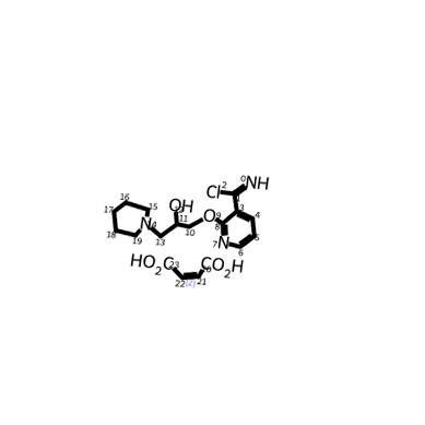 N=C(Cl)c1cccnc1OCC(O)CN1CCCCC1.O=C(O)/C=C\C(=O)O